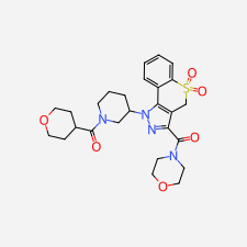 O=C(c1nn(C2CCCN(C(=O)C3CCOCC3)C2)c2c1CS(=O)(=O)c1ccccc1-2)N1CCOCC1